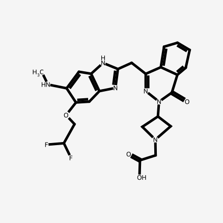 CNc1cc2[nH]c(Cc3nn(C4CN(CC(=O)O)C4)c(=O)c4ccccc34)nc2cc1OCC(F)F